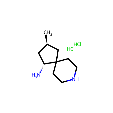 C[C@@H]1C[C@@H](N)C2(CCNCC2)C1.Cl.Cl